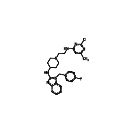 Cc1cc(NCCN2CCC(Nc3nc4ccccc4n3Cc3ccc(F)cc3)CC2)nc(Cl)n1